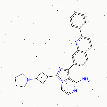 Nc1nccn2c(C3CC(N4CCCC4)C3)nc(-c3ccc4ccc(-c5ccccc5)nc4c3)c12